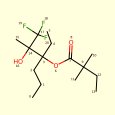 CCCC(CC)(OC(=O)C(C)(C)CC)C(C)(O)C(F)(F)F